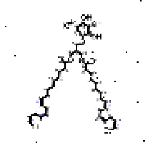 CC/C=C\C/C=C\C/C=C\CCCCCCCC(=O)OCC(COC(=O)CCCCCCC/C=C\C/C=C\C/C=C\CC)CO[C@@H]1O[C@H](CO)[C@H](O)[C@H](O)[C@H]1O